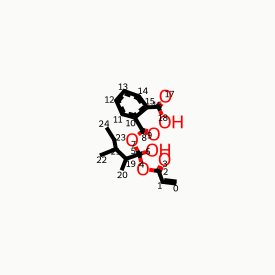 C=CC(=O)OC(O)(OC(=O)c1ccccc1C(=O)O)C(C)C(C)CC